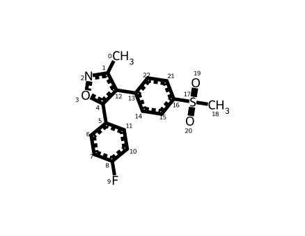 Cc1noc(-c2ccc(F)cc2)c1-c1ccc(S(C)(=O)=O)cc1